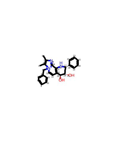 CC1=C(C)[N+]2(Cc3ccccc3)C=CC3=C(N[C@H](c4ccccc4)[C@H](O)[C@H]3O)C2=N1